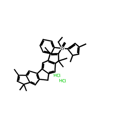 Cl.Cl.[CH2]=[Zr]([CH2]C)([C]1=CC(C)=CC1C)([C]1=C(C)c2cc3c(cc2C1(C)C)Cc1cc2c(cc1-3)C(C)=CC2(C)C)[c]1ccccc1